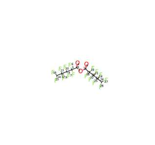 O=C(OC(=O)C(F)(F)C(F)(F)C(F)(F)C(F)F)C(F)(F)C(F)(F)C(F)(F)C(F)F